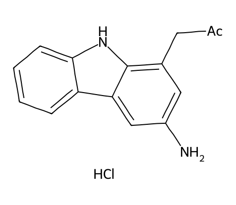 CC(=O)Cc1cc(N)cc2c1[nH]c1ccccc12.Cl